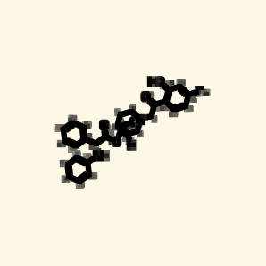 O=C(C[N+]12CCC(CC1)[C@@H](OC(=O)[C@H](Nc1ccccc1)c1ccccc1)C2)c1ccc(F)cc1O